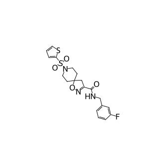 O=C(NCc1cccc(F)c1)C1=NOC2(CCN(S(=O)(=O)c3cccs3)CC2)C1